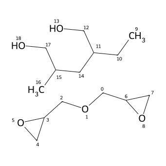 C(OCC1CO1)C1CO1.CCC(CO)CC(C)CO